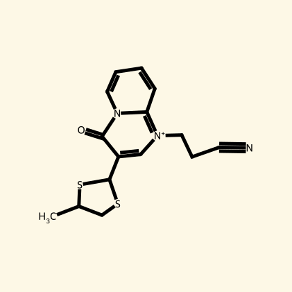 CC1CSC(c2c[n+](CCC#N)c3ccccn3c2=O)S1